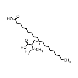 CC(C(=O)O)N(C)C.CCCCCCCCCCCCCCCCCCC(=O)O